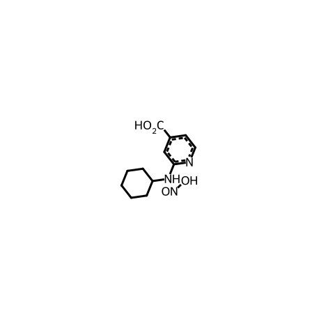 O=C(O)c1ccnc(NC2CCCCC2)c1.O=NO